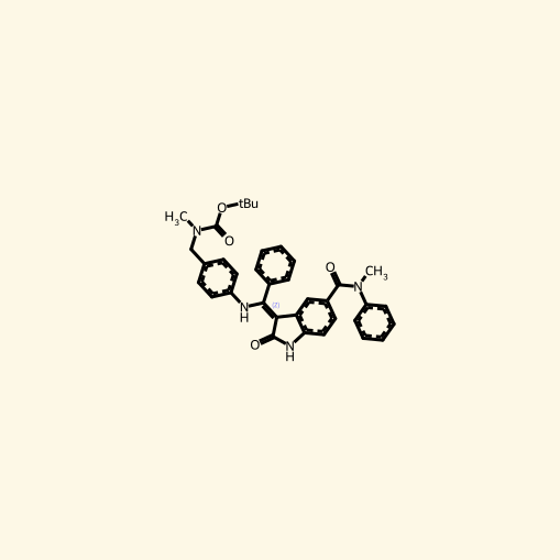 CN(Cc1ccc(N/C(=C2\C(=O)Nc3ccc(C(=O)N(C)c4ccccc4)cc32)c2ccccc2)cc1)C(=O)OC(C)(C)C